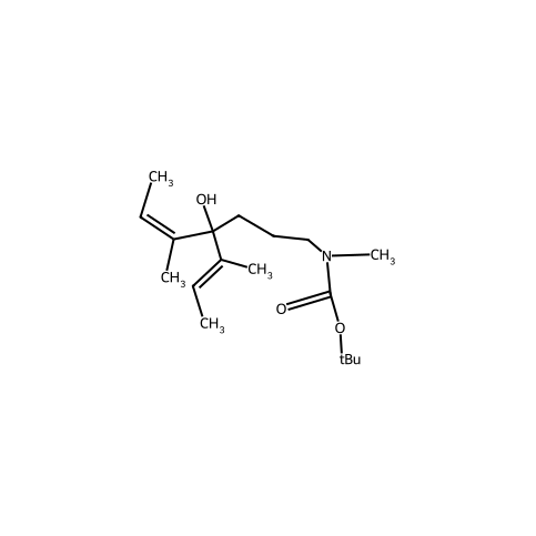 C/C=C(/C)C(O)(CCCN(C)C(=O)OC(C)(C)C)/C(C)=C/C